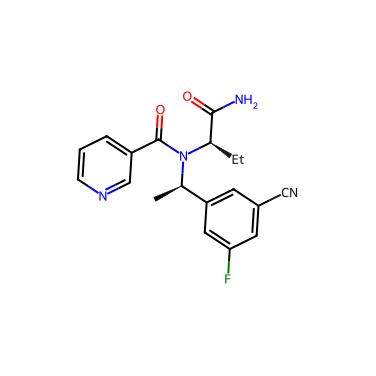 CC[C@H](C(N)=O)N(C(=O)c1cccnc1)[C@H](C)c1cc(F)cc(C#N)c1